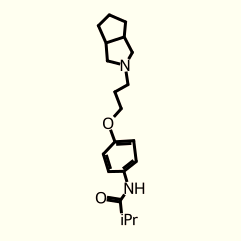 CC(C)C(=O)Nc1ccc(OCCCN2CC3CCCC3C2)cc1